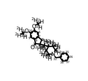 [2H]C([2H])([2H])Oc1cc2c(cc1OC([2H])([2H])[2H])C(=O)C([2H])(C([2H])([2H])C1([2H])C([2H])([2H])C([2H])([2H])N(Cc3ccccc3)C([2H])([2H])C1([2H])[2H])C2